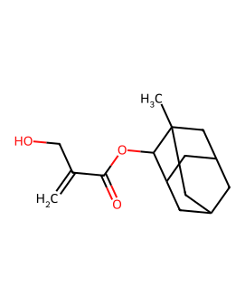 C=C(CO)C(=O)OC1C2CC3CC(C2)CC1(C)C3